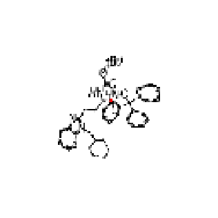 CC(C)(C)OC(=O)N[C@H](CCc1nc2ccccc2n1CC1CCCCC1)C(=O)NOC(c1ccccc1)(c1ccccc1)c1ccccc1